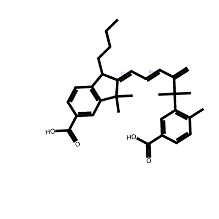 C=C(/C=C/C=C1/C(CCCC)c2ccc(C(=O)O)cc2C1(C)C)C(C)(C)c1cc(C(=O)O)ccc1C